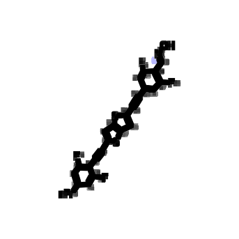 CCCc1cc(F)c(C#Cc2cc3sc(C#Cc4cc(F)c(/C=N/O)c(F)c4)cc3s2)c(F)c1